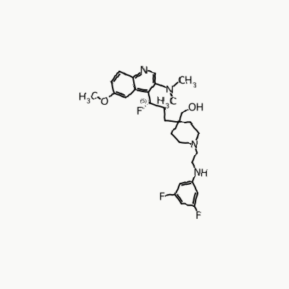 COc1ccc2ncc(N(C)C)c([C@@H](F)CCC3(CO)CCN(CCNc4cc(F)cc(F)c4)CC3)c2c1